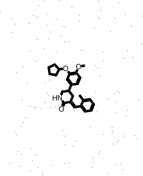 COc1ccc(C2CNC(=O)C(=Cc3ccccc3C)C2)cc1OC1CCCC1